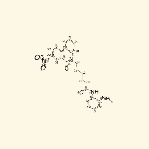 Nc1ccccc1NC(=O)CCCCCN(C(=O)c1cccc([N+](=O)[O-])c1)c1ccccc1